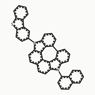 c1ccc2c(-n3c4cccc5c4c4c6c(ccc7c6c6c-5cccc6n7-c5ccc6sc7ccccc7c6c5)ccc43)cccc2c1